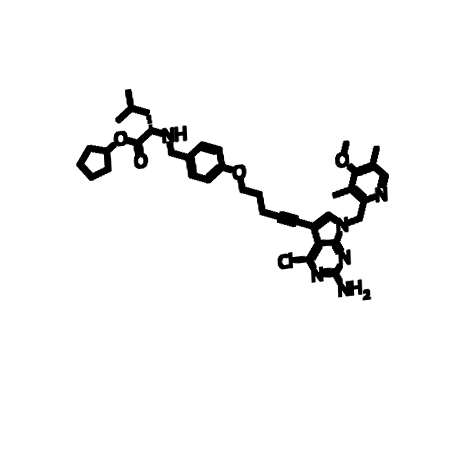 COc1c(C)cnc(Cn2cc(C#CCCCOc3ccc(CN[C@@H](CC(C)C)C(=O)OC4CCCC4)cc3)c3c(Cl)nc(N)nc32)c1C